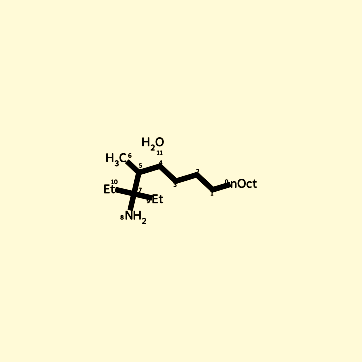 CCCCCCCCCCCCC(C)C(N)(CC)CC.O